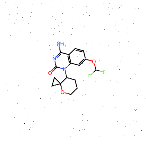 Nc1nc(=O)n(C2CCCOC23CC3)c2cc(OC(F)F)ccc12